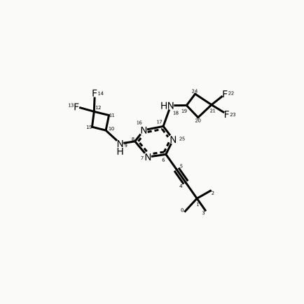 CC(C)(C)C#Cc1nc(NC2CC(F)(F)C2)nc(NC2CC(F)(F)C2)n1